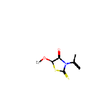 C=C(C)N1C(=O)C(OCC)SC1=S